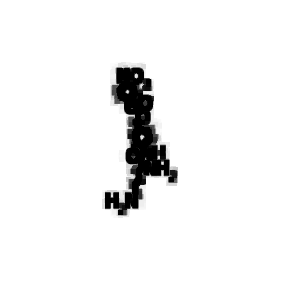 NCCCCC(N)C(=O)Nc1ccc(COC(=O)Oc2ccc([N+](=O)[O-])cc2)cc1